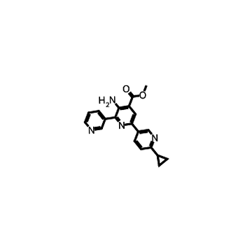 COC(=O)c1cc(-c2ccc(C3CC3)nc2)nc(-c2cccnc2)c1N